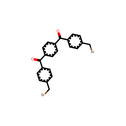 O=C(c1ccc(CBr)cc1)c1ccc(C(=O)c2ccc(CBr)cc2)cc1